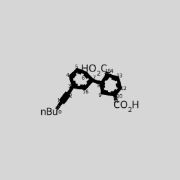 CCCCC#Cc1cccc(-c2cc(C(=O)O)ccc2C(=O)O)c1